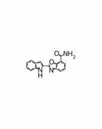 NC(=O)c1cccc2nc(-c3cc4ccccc4[nH]3)oc12